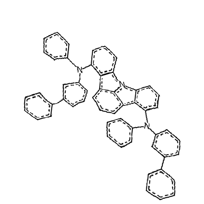 c1ccc(-c2cccc(N(c3ccccc3)c3cccc4c3c3cccc5c6c(N(c7ccccc7)c7cccc(-c8ccccc8)c7)cccc6n4c35)c2)cc1